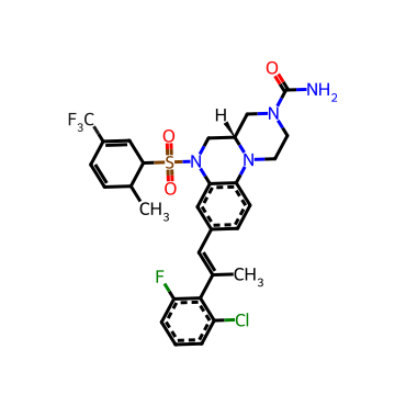 C/C(=C\c1ccc2c(c1)N(S(=O)(=O)C1C=C(C(F)(F)F)C=CC1C)C[C@@H]1CN(C(N)=O)CCN21)c1c(F)cccc1Cl